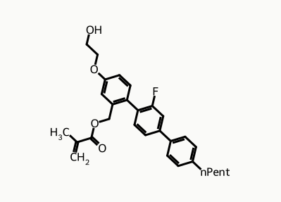 C=C(C)C(=O)OCc1cc(OCCO)ccc1-c1ccc(-c2ccc(CCCCC)cc2)cc1F